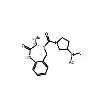 CC[C@H](C)[C@H]1C(=O)Nc2ccccc2CN1C(=O)N1CCC(N(C)C(C)=O)C1